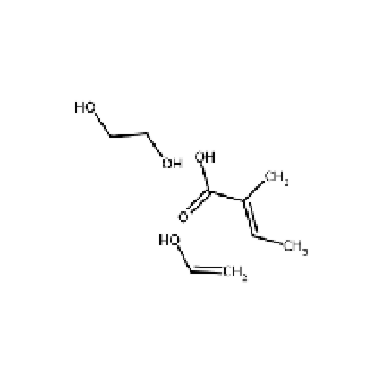 C/C=C(\C)C(=O)O.C=CO.OCCO